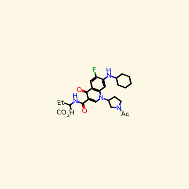 CCC(NC(=O)c1cn(C2CCN(C(C)=O)C2)c2cc(NC3CCCCC3)c(F)cc2c1=O)C(=O)O